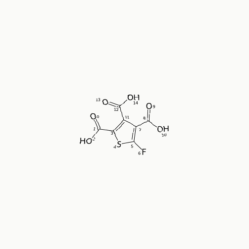 O=C(O)c1sc(F)c(C(=O)O)c1C(=O)O